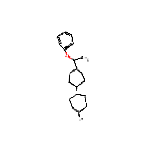 CC[C@H]1CC[C@H](C2CCC(C(C)Oc3ccccc3)CC2)CC1